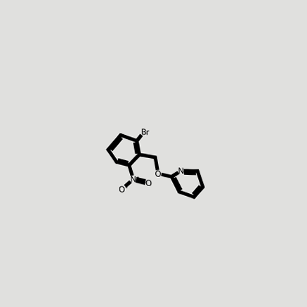 O=[N+]([O-])c1cccc(Br)c1COc1ccccn1